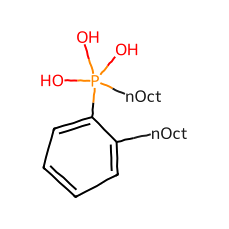 CCCCCCCCc1ccccc1P(O)(O)(O)CCCCCCCC